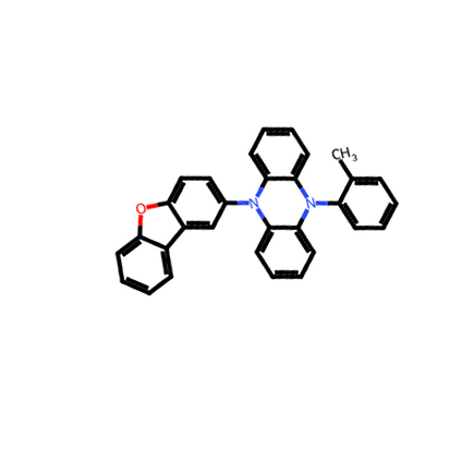 Cc1ccccc1N1c2ccccc2N(c2ccc3oc4ccccc4c3c2)c2ccccc21